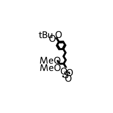 COC(OC)C(CCCc1ccc(C(=O)OC(C)(C)C)cc1)COS(C)(=O)=O